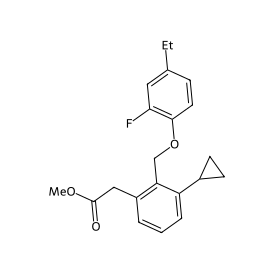 CCc1ccc(OCc2c(CC(=O)OC)cccc2C2CC2)c(F)c1